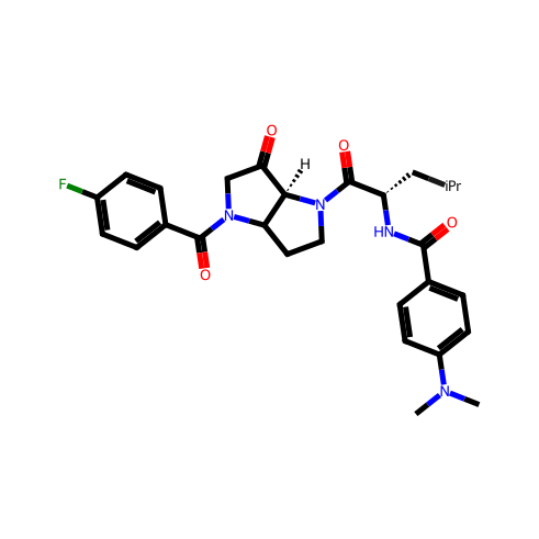 CC(C)C[C@H](NC(=O)c1ccc(N(C)C)cc1)C(=O)N1CCC2[C@H]1C(=O)CN2C(=O)c1ccc(F)cc1